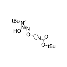 CN(/[N+](O)=N/OC1CN(C(=O)OC(C)(C)C)C1)C(C)(C)C